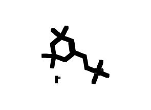 CC1(C)C=C(CC[N+](C)(C)C)CC(C)(C)C1.[I-]